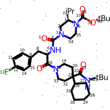 CC(C)[C@@H]1CN(C(=O)NC(Cc2ccc(F)cc2)C(=O)N2CCC(C(=O)NC(C)(C)C)(C3CCCCC3)CC2)CCN1C(=O)OC(C)(C)C